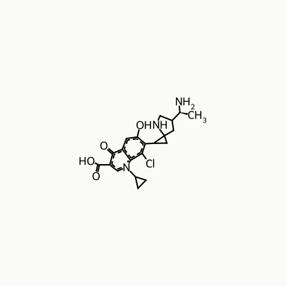 C[C@H](N)C1CNC2(C1)CC2c1c(O)cc2c(=O)c(C(=O)O)cn(C3CC3)c2c1Cl